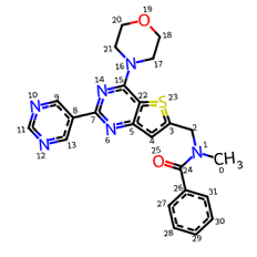 CN(Cc1cc2nc(-c3cncnc3)nc(N3CCOCC3)c2s1)C(=O)c1ccccc1